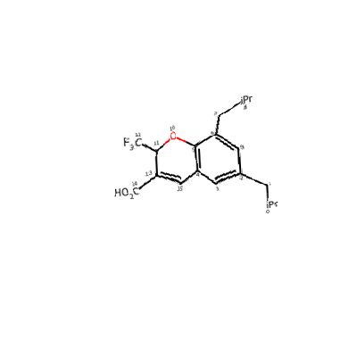 CC(C)Cc1cc2c(c(CC(C)C)c1)OC(C(F)(F)F)C(C(=O)O)=C2